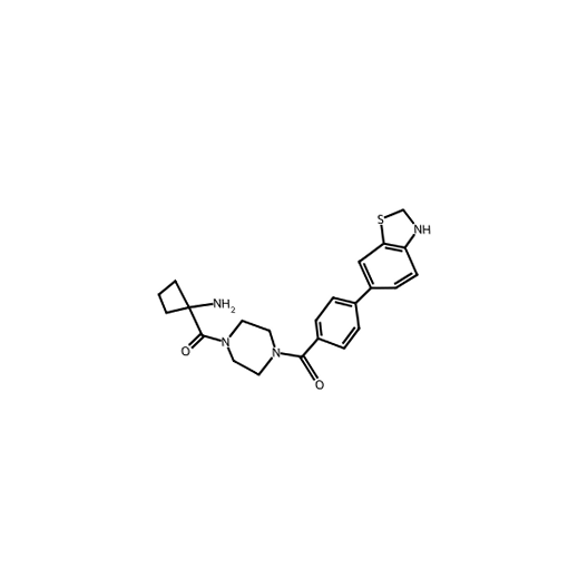 NC1(C(=O)N2CCN(C(=O)c3ccc(-c4ccc5c(c4)SCN5)cc3)CC2)CCC1